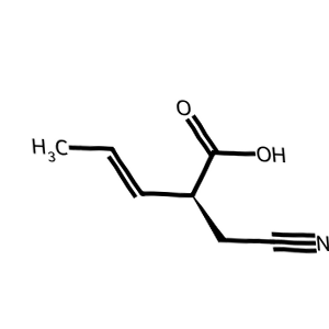 C/C=C/[C@H](CC#N)C(=O)O